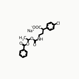 CC(OC(=O)NCCC(C(=O)[O-])c1ccc(Cl)cc1)OC(=O)c1ccccc1.[Na+]